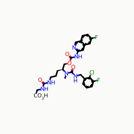 CN(C(=O)NCc1cccc(F)c1Cl)[C@@H](CCCNC(=O)NCC(=O)O)COC(=O)Nc1cc2cc(F)ccc2cn1